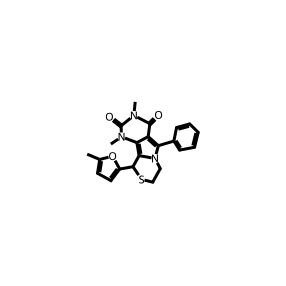 Cc1ccc(C2SCCn3c(-c4ccccc4)c4c(=O)n(C)c(=O)n(C)c4c32)o1